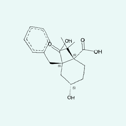 CC(C)(C)[C@@]1(C(=O)O)CC[C@H](O)C[C@]1(Cc1ccccc1)C(=O)O